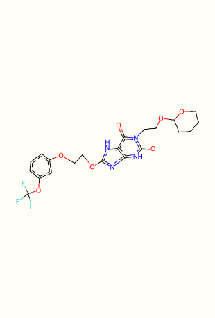 O=c1[nH]c2nc(OCCOc3cccc(OC(F)(F)F)c3)[nH]c2c(=O)n1CCOC1CCCCO1